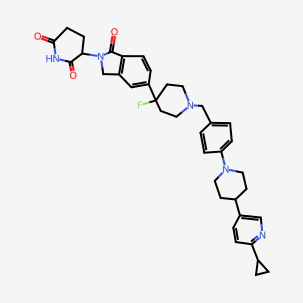 O=C1CCC(N2Cc3cc(C4(F)CCN(Cc5ccc(N6CCC(c7ccc(C8CC8)nc7)CC6)cc5)CC4)ccc3C2=O)C(=O)N1